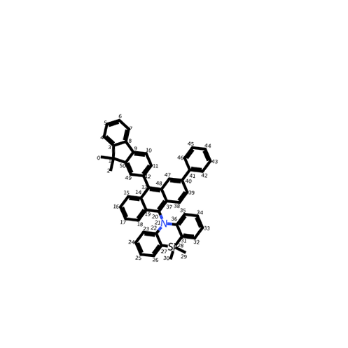 CC1(C)c2ccccc2-c2ccc(-c3c4ccccc4c(N4c5ccccc5[Si](C)(C)c5ccccc54)c4ccc(-c5ccccc5)cc34)cc21